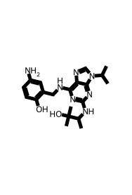 CC(C)n1cnc2c(NCc3cc(N)ccc3O)nc(NC(C)C(C)(C)O)nc21